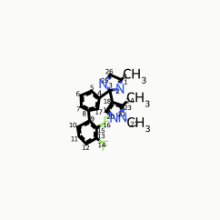 CC1=NC(c2cccc(-c3cccc(F)c3F)c2)(c2cnn(C)c2C)N=C1